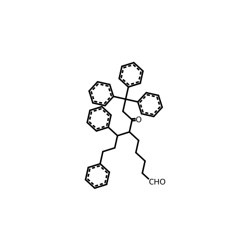 O=CCCCCC(C(=O)CC(c1ccccc1)(c1ccccc1)c1ccccc1)C(CCc1ccccc1)c1ccccc1